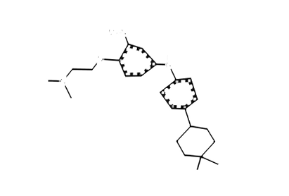 CNc1cc(Nc2ccc(C3CCC(C)(C)CC3)cc2)ccc1NCCN(C)C